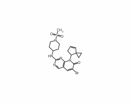 CS(=O)(=O)N1CCC(Nc2ncc3cc(Br)c(=O)n(C4CC=CC45CC5)c3n2)CC1